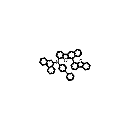 c1ccc(-c2ccc(N(c3cc4ccccc4c4ccccc34)c3cccc4c3oc3c(-c5cccc6c5sc5ccccc56)c5ccccc5cc34)cc2)cc1